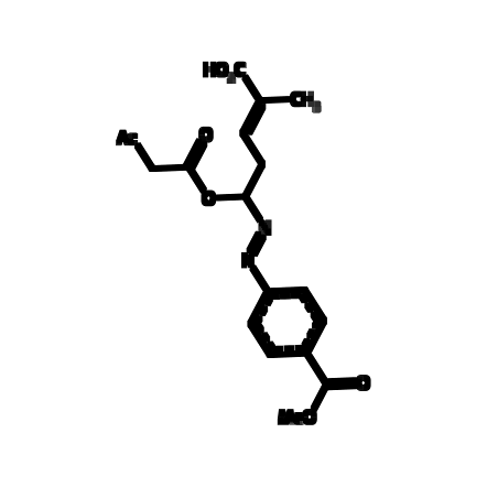 COC(=O)c1ccc(N=NC(CC=C(C)C(=O)O)OC(=O)CC(C)=O)cc1